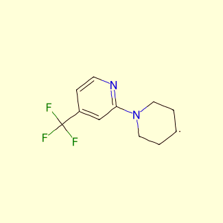 FC(F)(F)c1ccnc(N2CC[CH]CC2)c1